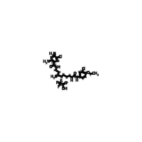 CCOc1ccc(NC(=O)NCCCCN(C)CCNC(=O)c2nc(Cl)c(N)nc2N)cc1Cl.O=C(O)C(F)(F)F